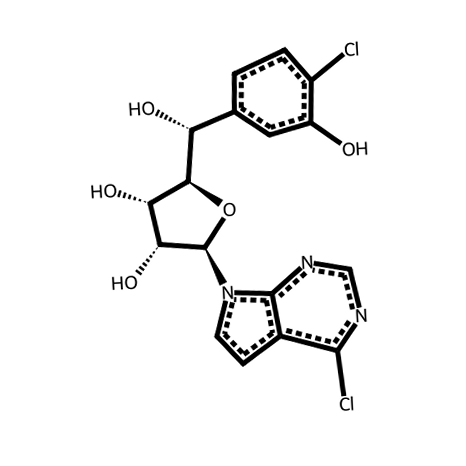 Oc1cc([C@@H](O)[C@H]2O[C@@H](n3ccc4c(Cl)ncnc43)[C@H](O)[C@@H]2O)ccc1Cl